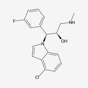 CNC[C@@H](O)[C@H](c1cccc(F)c1)n1ccc2c(Cl)cccc21